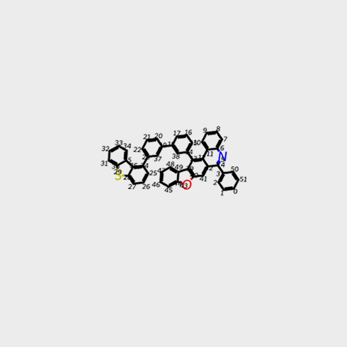 c1ccc(-c2nc3ccccc3c3c(-c4cccc(-c5cccc(-c6cccc7sc8ccccc8c67)c5)c4)c4c(cc23)oc2ccccc24)cc1